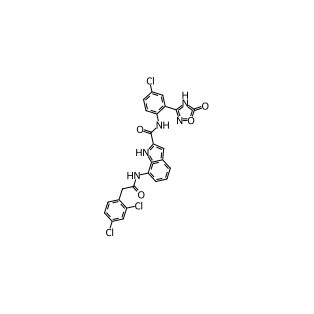 O=C(Cc1ccc(Cl)cc1Cl)Nc1cccc2cc(C(=O)Nc3ccc(Cl)cc3-c3noc(=O)[nH]3)[nH]c12